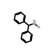 Br[SiH2]C(c1ccccc1)c1ccccc1